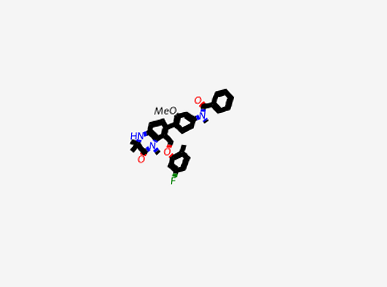 COc1cc(N(C)C(=O)c2ccccc2)ccc1-c1ccc2c(c1COc1cc(F)ccc1C)N(C)C(=O)C(C)(C)N2